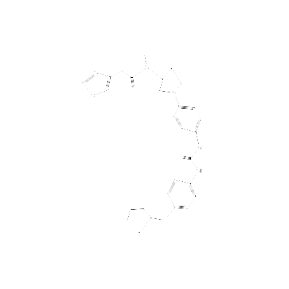 CN(C(=O)Cc1c[nH]cn1)C1CCN(c2ccc(NC(=O)Nc3ccc(OC4CCCC4)cc3)cc2)C1